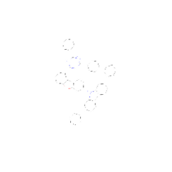 c1ccc(-c2ccc3c4ccc(-c5ccccc5)cc4n(-c4ccc5c(c4)oc4cccc(-c6nc(-c7ccccc7)nc(-c7ccccc7)n6)c45)c3c2)cc1